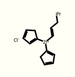 CC(C)C/C=[CH]/[Zr+]([C]1=CC=CC1)[C]1=CC=CC1.[Cl-]